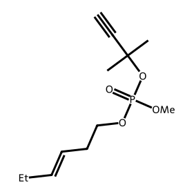 C#CC(C)(C)OP(=O)(OC)OCCC=CCC